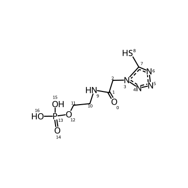 O=C(Cn1nnnc1S)NCCOP(=O)(O)O